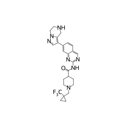 O=C(Nc1ncc2ccc(-c3cnn4c3CNCC4)cc2n1)C1CCN(CC2(C(F)(F)F)CC2)CC1